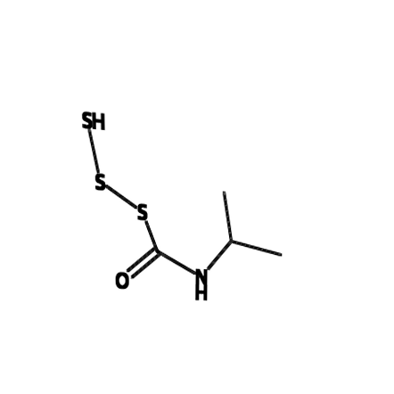 CC(C)NC(=O)SSS